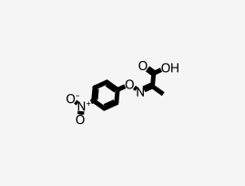 CC(=NOc1ccc([N+](=O)[O-])cc1)C(=O)O